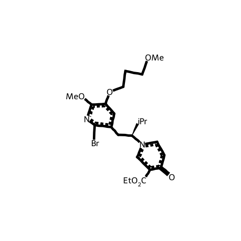 CCOC(=O)c1cn([C@@H](Cc2cc(OCCCOC)c(OC)nc2Br)C(C)C)ccc1=O